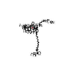 CCCCCCCCCCCCCCCC(=O)O[C@@H](COP(=O)(O)OC1C(O)[C@H](O)C(O)[C@H](OP(=O)(O)O)[C@@H]1O)CC(=O)OCCCCCCCCCCCCCCSC(=O)CCC